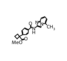 COC(=O)C1(c2ccc(C(=O)Nc3cn4c(C)cccc4n3)cc2)CCC1